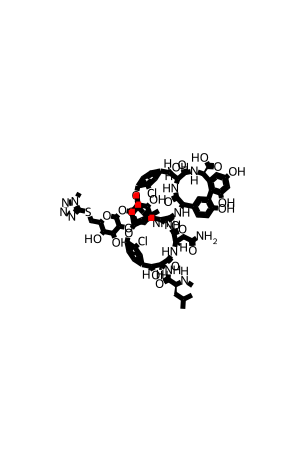 CN[C@@H](CC(C)C)C(=O)N[C@H]1C(=O)N[C@@H](CC(N)=O)C(=O)NC2C(=O)NC3C(=O)N[C@H](C(=O)N[C@@H](C(=O)O)c4cc(O)cc(O)c4-c4cc3ccc4O)[C@H](O)c3ccc(c(Cl)c3)Oc3cc2cc(c3OC2OC(CSc3nnnn3C)C(O)C(O)C2OC2CC(C)(N)C(O)C(C)O2)Oc2ccc(cc2Cl)[C@H]1O